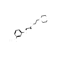 Nc1cccc(/N=C/C(=O)NCCN2CCOCC2)c1